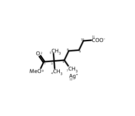 COC(=O)C(C)(C)C(C)CCCC(=O)[O-].[Ag+]